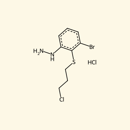 Cl.NNc1cccc(Br)c1SCCCCl